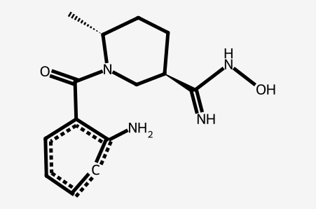 C[C@@H]1CC[C@@H](C(=N)NO)CN1C(=O)c1ccccc1N